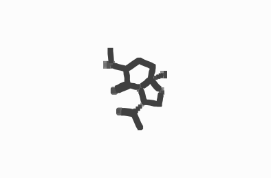 CNC1CC[C@H]2SC[C@H](C(C)=O)N2C1=O